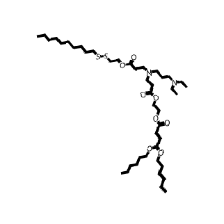 CCCCCCCCCCSSCCOC(=O)CCN(CCCN(CC)CC)CCC(=O)OCCOC(=O)CCC(OCCCCCC)OCCCCCC